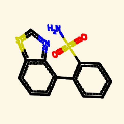 NS(=O)(=O)c1ccccc1-c1cccc2scnc12